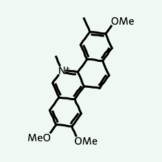 COc1cc2ccc3c4cc(OC)c(OC)cc4c[n+](C)c3c2cc1C